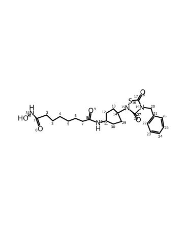 O=C(CCCCCCC(=O)NC1CCC(n2sc(=O)n(Cc3ccccc3)c2=O)CC1)NO